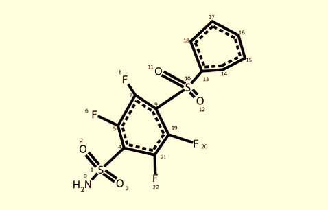 NS(=O)(=O)c1c(F)c(F)c(S(=O)(=O)c2ccccc2)c(F)c1F